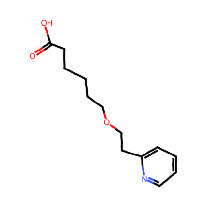 O=C(O)CCCCCOCCc1ccccn1